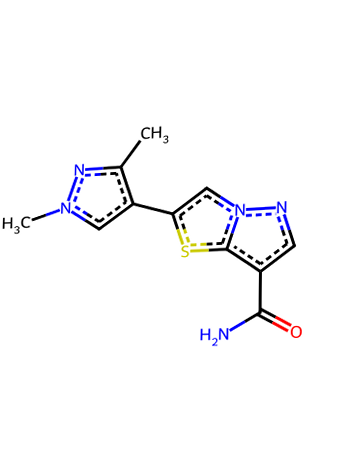 Cc1nn(C)cc1-c1cn2ncc(C(N)=O)c2s1